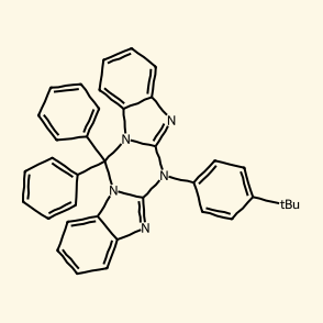 CC(C)(C)c1ccc(N2c3nc4ccccc4n3C(c3ccccc3)(c3ccccc3)n3c2nc2ccccc23)cc1